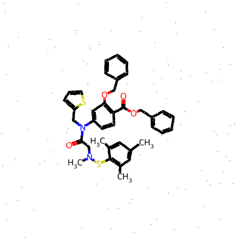 Cc1cc(C)c(SN(C)CC(=O)N(Cc2cccs2)c2ccc(C(=O)OCc3ccccc3)c(OCc3ccccc3)c2)c(C)c1